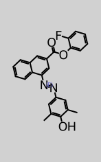 Cc1cc(/N=N/c2cc(C(=O)Oc3ccccc3F)cc3ccccc23)cc(C)c1O